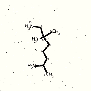 CC(N)CCCC(C)(C)CN